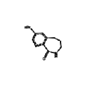 CCCc1ccc2c(c1)CCCNC2=O